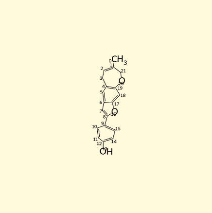 CC1=CCc2cc3cc(-c4ccc(O)cc4)oc3cc2OC1